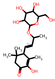 CC1=C(O)C(=O)CC(C)(C)C1/C=C/C(C)OC1OC(CO)C(O)C(O)C1O